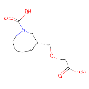 O=C(O)COC[C@@H]1CCCN(C(=O)O)C1